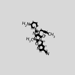 CC#CCn1c(N2CCC[C@@H](N)C2)nc2c1c(=O)n(Cc1cncc(C#N)c1)c(=O)n2C